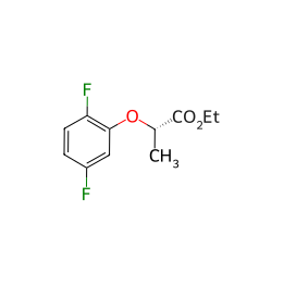 CCOC(=O)[C@H](C)Oc1cc(F)ccc1F